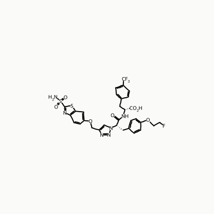 NS(=O)(=O)c1nc2ccc(OCc3cn([C@@H](Cc4ccc(OCCF)cc4)C(=O)N[C@H](Cc4ccc(C(F)(F)F)cc4)C(=O)O)nn3)cc2s1